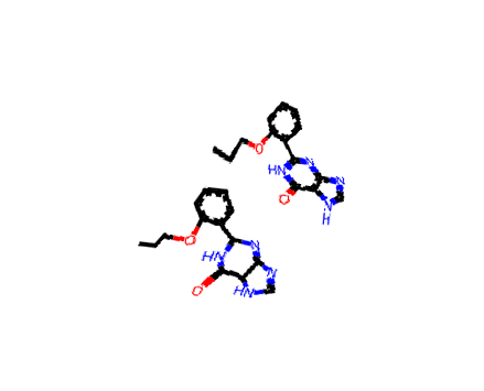 CCCOc1ccccc1-c1nc2nc[nH]c2c(=O)[nH]1.CCCOc1ccccc1C1N=C2N=CNC2C(=O)N1